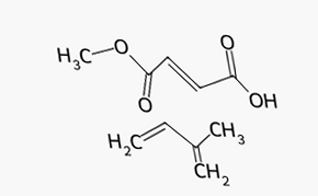 C=CC(=C)C.COC(=O)C=CC(=O)O